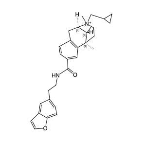 C[C@H]1[C@H]2Cc3ccc(C(=O)NCCc4ccc5occc5c4)cc3[C@]1(C)CC[N+]2(C)CC1CC1